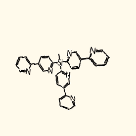 C[Si](c1ccc(-c2ccccn2)cn1)(c1ccc(-c2ccccn2)cn1)c1ccc(-c2ccccn2)cn1